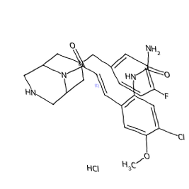 COc1cc(/C=C/C(=O)N2C3CNCC2CN(Cc2ccc(F)cc2)C3)c(NC(N)=O)cc1Cl.Cl